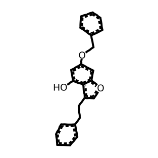 Oc1cc(OCc2ccccc2)cc2occ(CCc3ccccc3)c12